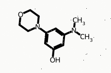 CN(C)c1cc(O)cc(N2CCOCC2)c1